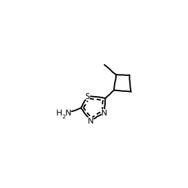 CC1CCC1c1nnc(N)s1